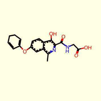 Cc1nc(C(=O)NCC(=O)O)c(O)c2ccc(OC3=CCCC=C3)cc12